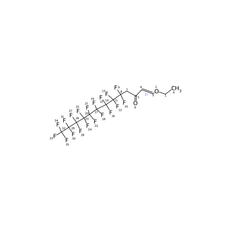 CCO/C=C/C(=O)CC(F)(F)C(F)(F)C(F)(F)C(F)(F)C(F)(F)C(F)(F)C(F)(F)C(F)(F)C(F)(F)F